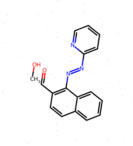 CO.O=Cc1ccc2ccccc2c1N=Nc1ccccn1